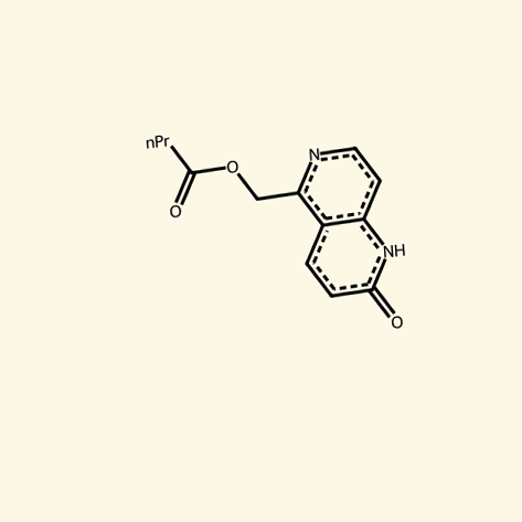 CCCC(=O)OCc1nccc2[nH]c(=O)ccc12